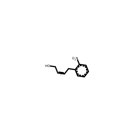 O=[N+]([O-])c1ccccc1C/C=C\CO